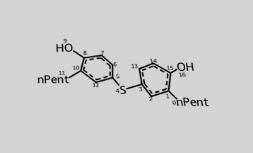 CCCCCc1cc(Sc2ccc(O)c(CCCCC)c2)ccc1O